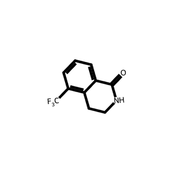 O=C1NCCc2c1cccc2C(F)(F)F